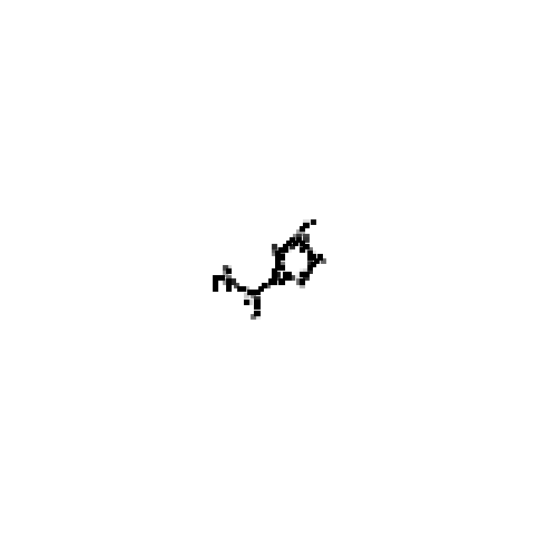 CCC(C)n1ccc(C)c1